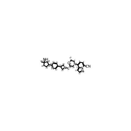 C[C@@H]1CN(c2ccc(C#N)n3nccc23)C[C@H](CN2CC(c3ccc(C4CCC(C)(N)C4)nc3)C2)O1